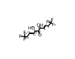 O=C([C@@H](O)C=CCC(F)(F)F)[C@@H](O)C=CCC(F)(F)F